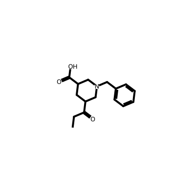 CCC(=O)C1CC(C(=O)O)CN(Cc2ccccc2)C1